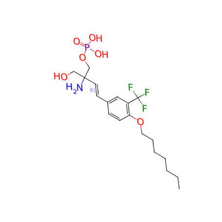 CCCCCCCOc1ccc(/C=C/C(N)(CO)COP(=O)(O)O)cc1C(F)(F)F